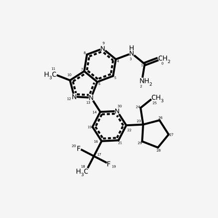 C=C(N)Nc1cc2c(cn1)c(C)nn2-c1cc(C(C)(F)F)cc(C2(CC)CCCC2)n1